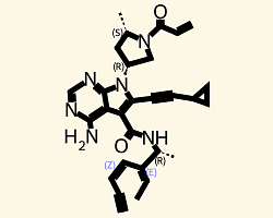 C#C/C=C\C(=C/C)[C@@H](C)NC(=O)c1c(C#CC2CC2)n([C@@H]2C[C@H](C)N(C(=O)C=C)C2)c2ncnc(N)c12